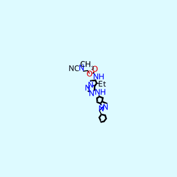 CCc1c(NC(=O)OCCN(C)C#N)cn2ncnc(Nc3ccc4c(cnn4Cc4ccccc4)c3)c12